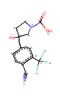 N#Cc1ccc(C2(O)CCN(C(=O)O)C2)cc1C(F)(F)F